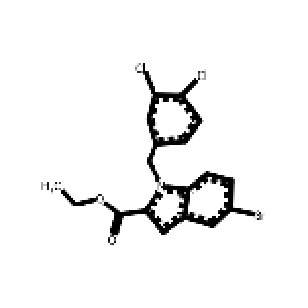 CCOC(=O)c1cc2cc(Br)ccc2n1Cc1ccc(Cl)c(Cl)c1